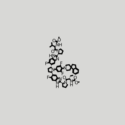 CC[C@H](NC(=O)OC)C(=O)N1CCC[C@H]1c1nc2cc([C@H]3CC[C@H](c4cc5nc([C@@H]6CCCN6C(=O)[C@@H](NC(=O)OC)C(C)C)[nH]c5cc4F)N3c3cc(F)c(N4CCC5(CCc6ccccc65)CC4)c(F)c3)c(F)cc2[nH]1